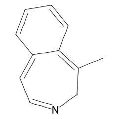 CC1=c2ccccc2=CC=NC1